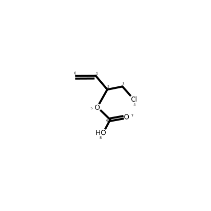 C=CC(CCl)OC(=O)O